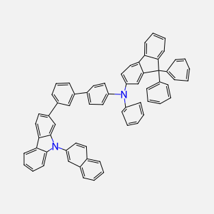 c1ccc(N(c2ccc(-c3cccc(-c4ccc5c6ccccc6n(-c6ccc7ccccc7c6)c5c4)c3)cc2)c2ccc3c(c2)C(c2ccccc2)(c2ccccc2)c2ccccc2-3)cc1